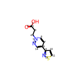 O=C(O)CC[n+]1ccc(-c2ccsn2)cn1